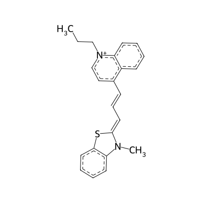 CCC[n+]1ccc(/C=C/C=C2\Sc3ccccc3N2C)c2ccccc21